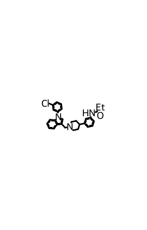 CCC(=O)Nc1cccc(C2CCN(Cc3cn(-c4cccc(Cl)c4)c4ccccc34)CC2)c1